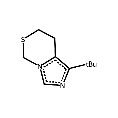 CC(C)(C)c1ncn2c1CCSC2